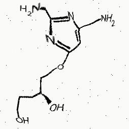 Nc1cc(OC[C@@H](O)CO)nc(N)n1